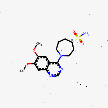 COc1cc2ncnc(N3CCC[C@H](S(N)(=O)=O)CC3)c2cc1OC